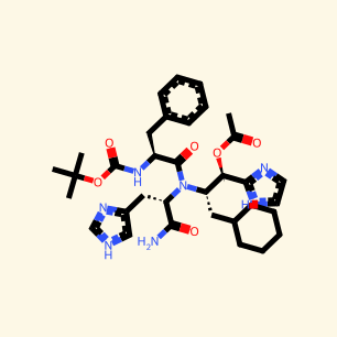 CC(=O)O[C@@H](c1ncc[nH]1)[C@H](CC1CCCCC1)N(C(=O)[C@H](Cc1ccccc1)NC(=O)OC(C)(C)C)[C@@H](Cc1c[nH]cn1)C(N)=O